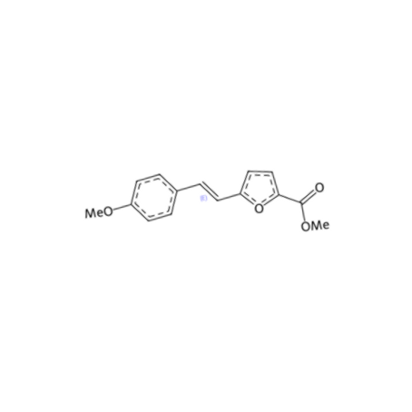 COC(=O)c1ccc(/C=C/c2ccc(OC)cc2)o1